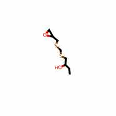 CCC(O)CSCSCC1CO1